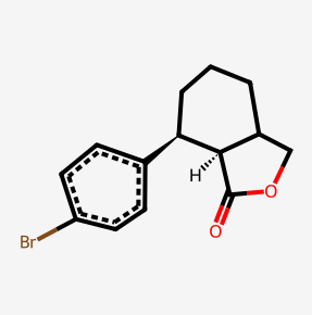 O=C1OCC2CCC[C@H](c3ccc(Br)cc3)[C@H]12